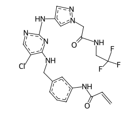 C=CC(=O)Nc1cccc(CNc2nc(Nc3cnn(CC(=O)NCC(F)(F)F)c3)ncc2Cl)c1